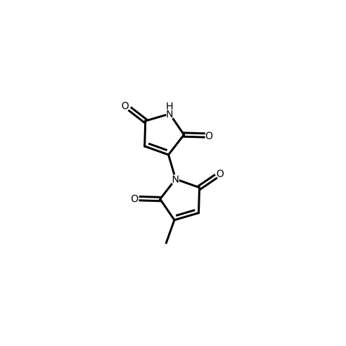 CC1=CC(=O)N(C2=CC(=O)NC2=O)C1=O